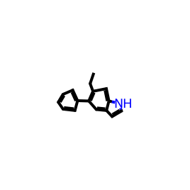 CCc1cc2[nH]ccc2cc1-c1ccccc1